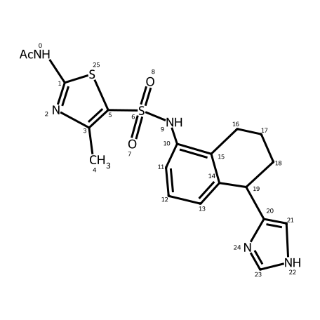 CC(=O)Nc1nc(C)c(S(=O)(=O)Nc2cccc3c2CCCC3c2c[nH]cn2)s1